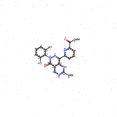 COC(=O)c1cccc(-c2nn(-c3c(Cl)cccc3Cl)c(=O)c3cnc(SC)nc23)n1